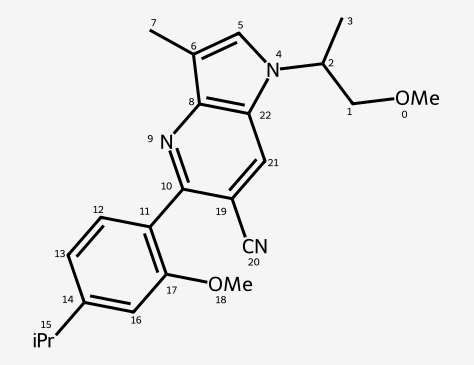 COCC(C)n1cc(C)c2nc(-c3ccc(C(C)C)cc3OC)c(C#N)cc21